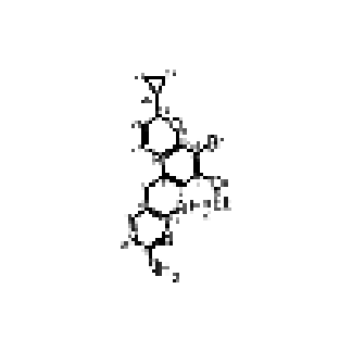 CCOc1cc(Cc2cnc(N)nc2N)c2c(c1Br)OC(C1CC1)C=C2